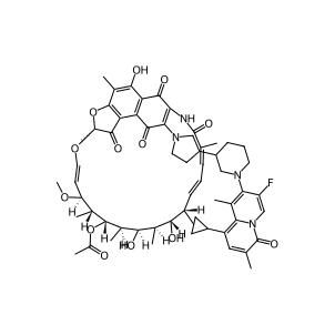 CO[C@H]1/C=C/O[C@@]2(C)Oc3c(C)c(O)c4c(c3C2=O)C(=O)C(N2CCC(C3CCCN(c5c(F)cn6c(=O)c(C)cc(C7CC7)c6c5C)C3)C2)=C(NC(=O)/C(C)=C\C=C\[C@H](C)[C@H](O)[C@@H](C)[C@@H](O)[C@@H](C)[C@H](OC(C)=O)[C@@H]1C)C4=O